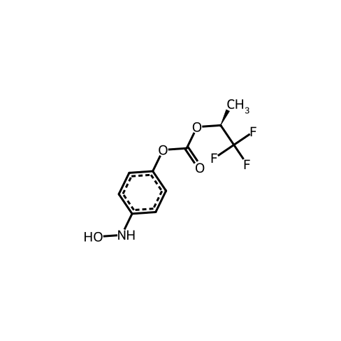 C[C@H](OC(=O)Oc1ccc(NO)cc1)C(F)(F)F